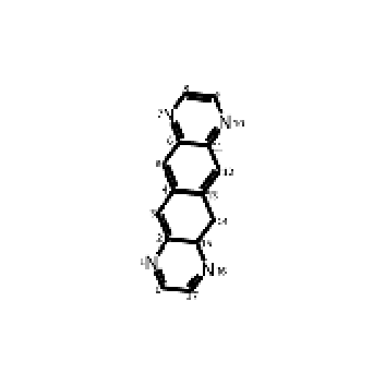 C1=NC2=Cc3cc4nccnc4cc3CC2N=C1